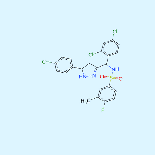 Cc1cc(S(=O)(=O)NC(C2=NNC(c3ccc(Cl)cc3)C2)c2ccc(Cl)cc2Cl)ccc1F